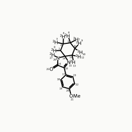 [2H]C1C([2H])([2H])C([2H])([2H])C([2H])([2H])C([2H])([2H])C12N=C(c1ccc(OC)cc1)C(=O)N2[2H]